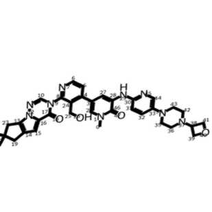 Cn1cc(-c2ccnc(-n3cnn4c5c(cc4c3=O)CC(C)(C)C5)c2CO)cc(Nc2ccc(N3CCN(C4COC4)CC3)cn2)c1=O